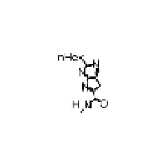 CCCCCCc1ncc2c(n1)N=C(C(N)=O)C2